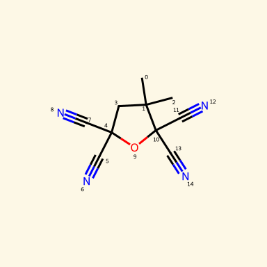 CC1(C)CC(C#N)(C#N)OC1(C#N)C#N